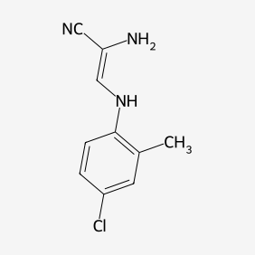 Cc1cc(Cl)ccc1N/C=C(\N)C#N